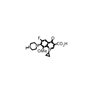 COc1c(N2CCN(I)CC2)c(F)cc2c(=O)c(C(=O)O)cn(C3CC3)c12